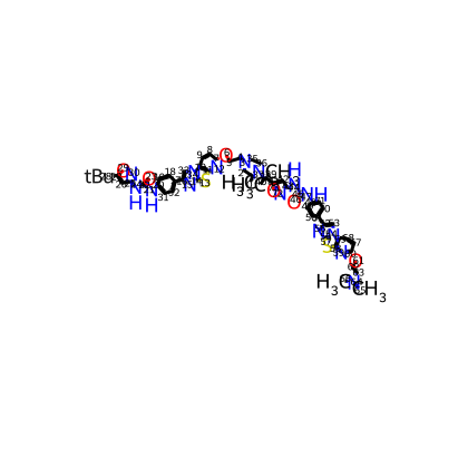 CC1CN(CCOc2ccc3c(n2)sc2nc(-c4ccc(NC(=O)Nc5cc(C(C)(C)C)on5)cc4)cn23)CCN1C(C)(C)c1cc(NC(=O)Nc2ccc(-c3cn4c(n3)sc3nc(OCCN(C)C)ccc34)cc2)no1